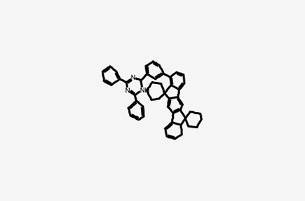 C1=CCC2C(=C1)c1cc3c(cc1C21CCCCC1)-c1cccc(-c2cccc(C4N=C(c5ccccc5)N=C(c5ccccc5)N4)c2)c1C31CCCCC1